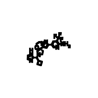 Nc1ncc(-c2cc3n(n2)CCO[C@@]32CCN(C(c3ncc[nH]3)C3CCC3)C2)cc1C(F)(F)F